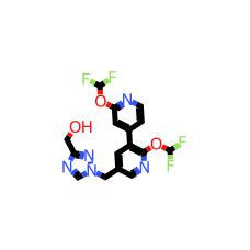 OCc1ncn(Cc2cnc(OC(F)F)c(-c3ccnc(OC(F)F)c3)c2)n1